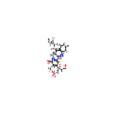 CC[C@@]1(O)CC(=O)OCc2c1cc1n(c2=O)Cc2c-1nc1ccccc1c2CC[Si](C)(C)C